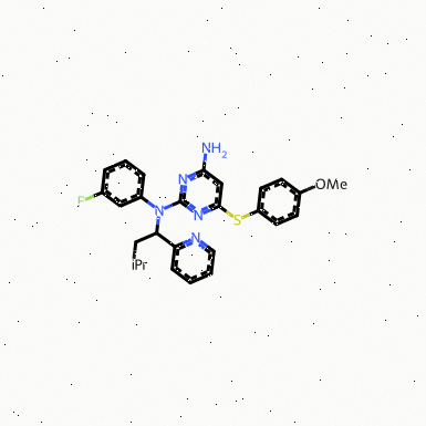 COc1ccc(Sc2cc(N)nc(N(c3cccc(F)c3)C(CC(C)C)c3ccccn3)n2)cc1